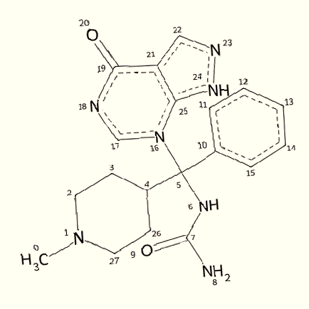 CN1CCC(C(NC(N)=O)(c2ccccc2)n2cnc(=O)c3cn[nH]c32)CC1